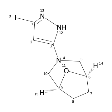 Ic1cc(N2C[C@H]3CC[C@@H](C2)O3)[nH]n1